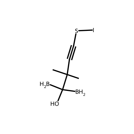 BC(B)(O)C(C)(C)C#CSI